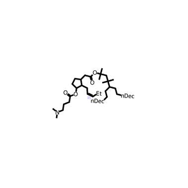 CC/C=C\CC1C(CC(=O)OC(C)(C)CC(C)(C)C(CCCCCCCCCCCC)CCCCCCCCCCCC)CCC1OC(=O)CCCN(C)C